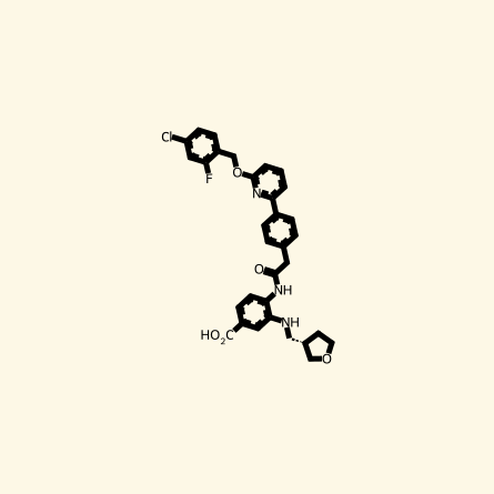 O=C(Cc1ccc(-c2cccc(OCc3ccc(Cl)cc3F)n2)cc1)Nc1ccc(C(=O)O)cc1NC[C@@H]1CCOC1